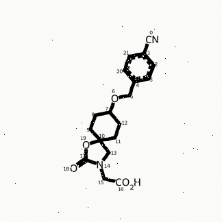 N#Cc1ccc(COC2CCC3(CC2)CN(CC(=O)O)C(=O)O3)cc1